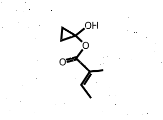 C/C=C(\C)C(=O)OC1(O)CC1